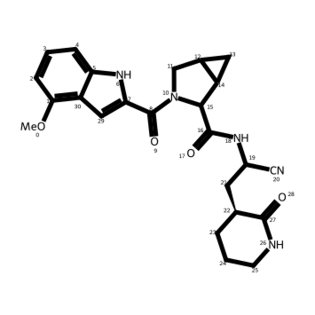 COc1cccc2[nH]c(C(=O)N3CC4CC4C3C(=O)NC(C#N)C[C@@H]3CCCNC3=O)cc12